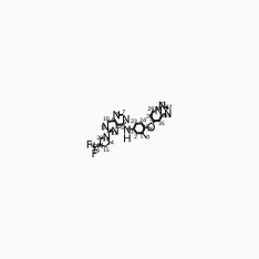 Cc1cc(Nc2ncnc3cnc(N4CC[C@@H](C(F)F)C4)nc23)ccc1Oc1ccn2ncnc2c1